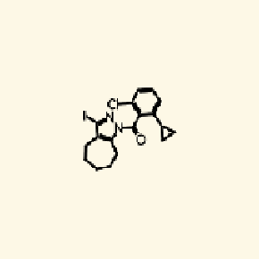 O=C(c1c(Cl)cccc1C1CC1)n1nc(I)c2c1CCCCC2